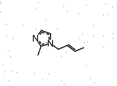 CC=CCn1ccnc1C